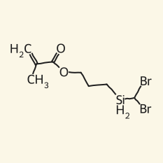 C=C(C)C(=O)OCCC[SiH2]C(Br)Br